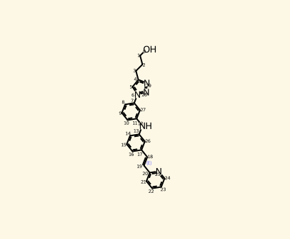 OCCCc1cn(-c2cccc(Nc3cccc(/C=C/c4ccccn4)c3)c2)nn1